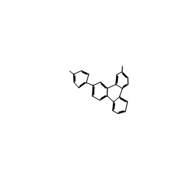 Oc1ccc(-c2ccc3c4ccccc4c4ccc(O)cc4c3c2)cc1